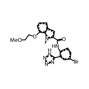 COCCOc1cccc2cc(C(=O)Nc3ccc(Br)cc3-c3nnn[nH]3)n(C)c12